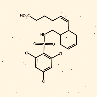 O=C(O)CCC/C=C\C1CC=CCC1CNS(=O)(=O)c1c(Cl)cc(Cl)cc1Cl